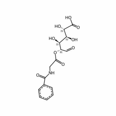 O=C[C@H](OC(=O)CNC(=O)c1ccccc1)[C@@H](O)[C@H](O)[C@H](O)C(=O)O